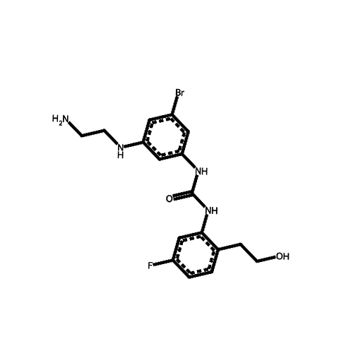 NCCNc1cc(Br)cc(NC(=O)Nc2cc(F)ccc2CCO)c1